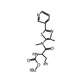 Cc1nc(-c2cccnc2)sc1N(C)C(=O)C(CC(C)C)NC(=O)OC(C)(C)C